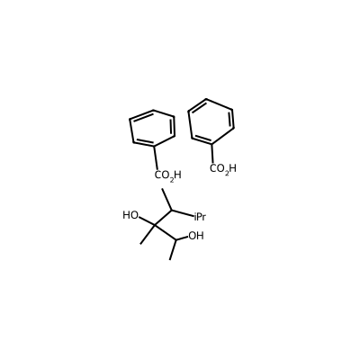 CC(C)C(C)C(C)(O)C(C)O.O=C(O)c1ccccc1.O=C(O)c1ccccc1